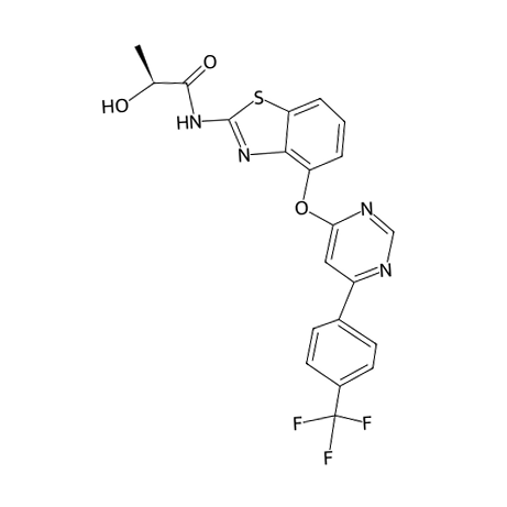 C[C@H](O)C(=O)Nc1nc2c(Oc3cc(-c4ccc(C(F)(F)F)cc4)ncn3)cccc2s1